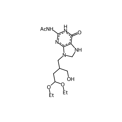 CCOC(CC(CO)CN1CNc2c1nc(NC(C)=O)[nH]c2=O)OCC